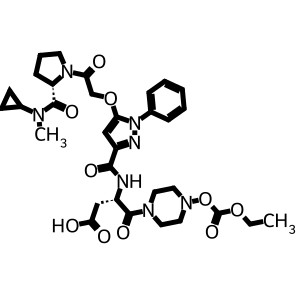 CCOC(=O)ON1CCN(C(=O)[C@H](CC(=O)O)NC(=O)c2cc(OCC(=O)N3CCC[C@H]3C(=O)N(C)C3CC3)n(-c3ccccc3)n2)CC1